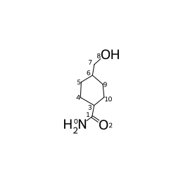 NC(=O)C1CCC(CO)CC1